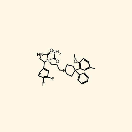 COc1ccc(C)cc1C1(c2ccccc2)CCN(CCC[N+]2(C(N)=O)C(=O)NCC2c2ccc(F)c(F)c2)CC1